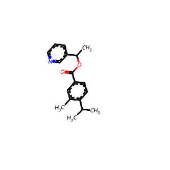 Cc1cc(C(=O)OC(C)c2cccnc2)ccc1C(C)C